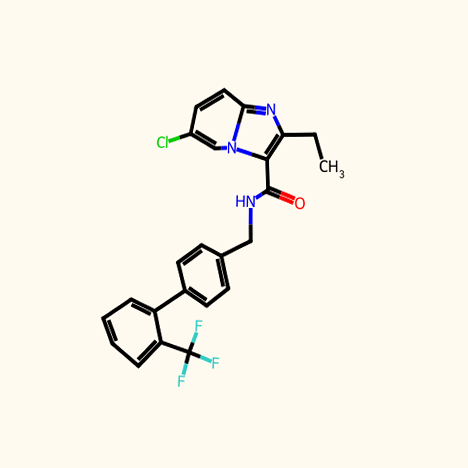 CCc1nc2ccc(Cl)cn2c1C(=O)NCc1ccc(-c2ccccc2C(F)(F)F)cc1